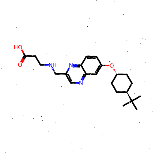 CC(C)(C)[C@H]1CC[C@H](Oc2ccc3nc(CNCCC(=O)O)cnc3c2)CC1